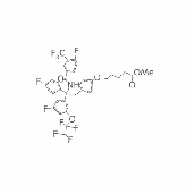 COC(=O)CCCCOc1ccc(C[C@@](NC(=O)c2ccc(F)c(C(F)(F)F)c2)(c2ccc(F)cc2)c2cc(F)cc(OC(F)(F)C(F)F)c2)cc1